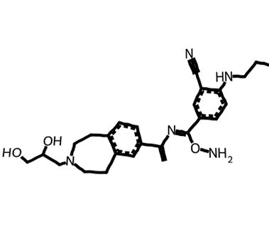 C=C(/N=C(\ON)c1ccc(NCCC)c(C#N)c1)c1ccc2c(c1)CCN(CC(O)CO)CC2